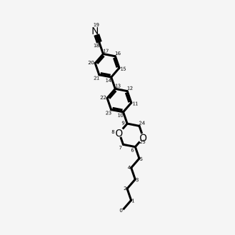 CCCCCCC1COC(c2ccc(-c3ccc(C#N)cc3)cc2)CO1